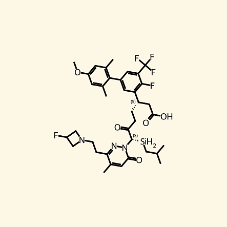 COc1cc(C)c(-c2cc([C@@H](CCC(=O)[C@H]([SiH2]CC(C)C)n3nc(CCN4CC(F)C4)c(C)cc3=O)CC(=O)O)c(F)c(C(F)(F)F)c2)c(C)c1